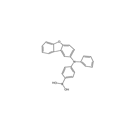 OB(O)c1ccc(N(c2ccccc2)c2ccc3oc4ccccc4c3c2)cc1